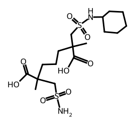 CC(CCCC(C)(CS(=O)(=O)NC1CCCCC1)C(=O)O)(CS(N)(=O)=O)C(=O)O